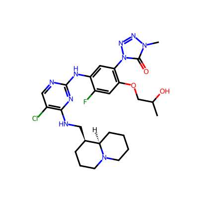 CC(O)COc1cc(F)c(Nc2ncc(Cl)c(NC[C@@H]3CCCN4CCCC[C@H]34)n2)cc1-n1nnn(C)c1=O